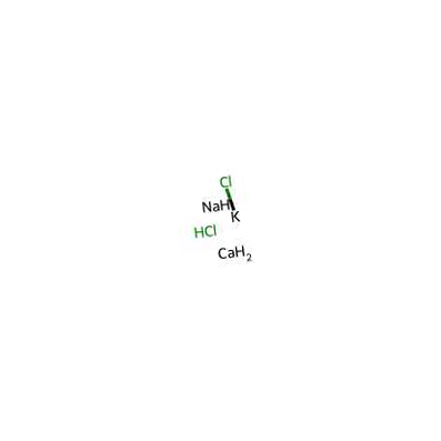 Cl.[CaH2].[Cl][K].[NaH]